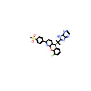 CC(C)(c1nc2nccnc2[nH]1)[C@@H]1c2ccc(-c3ccc(S(C)(=O)=O)cc3)nc2Oc2c(F)cccc21